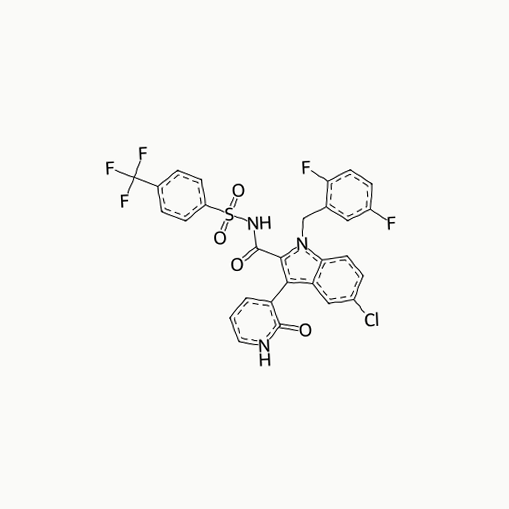 O=C(NS(=O)(=O)c1ccc(C(F)(F)F)cc1)c1c(-c2ccc[nH]c2=O)c2cc(Cl)ccc2n1Cc1cc(F)ccc1F